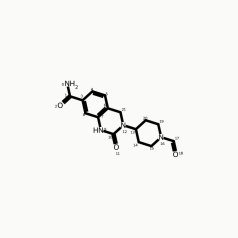 NC(=O)c1ccc2c(c1)NC(=O)N(C1CCN(C=O)CC1)C2